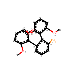 COc1cccc(OC)c1-c1cccc(P)c1-c1c(OC)cccc1OC